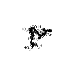 CCCC(=O)OCN(C(=O)[C@@H](NC(=O)[C@H]1CCCCN1C)C(C)CC)[C@H](C[C@@H](OC(C)=O)c1nc(C(=O)N[C@@H](Cc2ccc(O)cc2)C[C@H](C)C(=O)NNC(=O)OCCSSC[C@@H](NC(=O)[C@@H](CC(=O)O)NC(=O)[C@@H](CC(=O)O)NC(=O)Cc2ccc(CNC(=O)NCCCC[C@@H](C)NC(=O)N[C@@H](CCC(=O)O)C(=O)O)cc2)C(=O)O)cs1)C(C)C